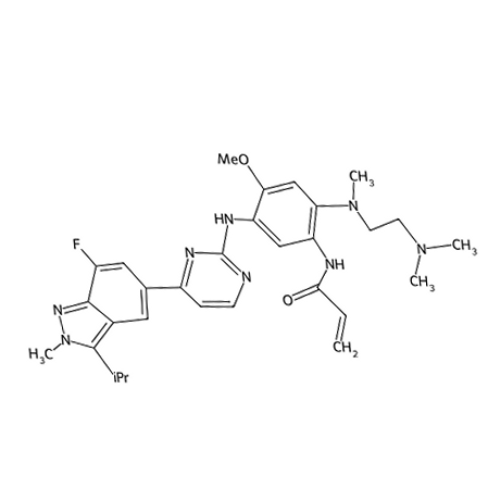 C=CC(=O)Nc1cc(Nc2nccc(-c3cc(F)c4nn(C)c(C(C)C)c4c3)n2)c(OC)cc1N(C)CCN(C)C